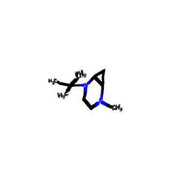 CN1CCN(C(C)(C)C)C2CC21